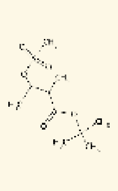 CC(OS(C)(=O)=O)C(C)C(=O)OC(C)(C)C